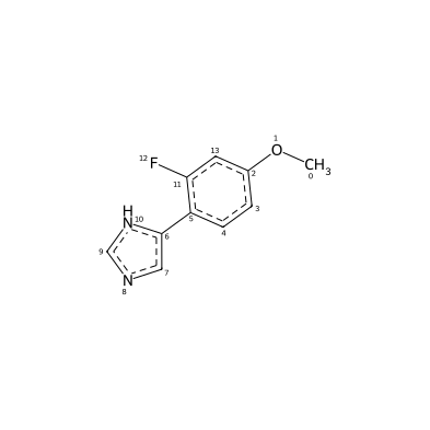 COc1ccc(-c2cnc[nH]2)c(F)c1